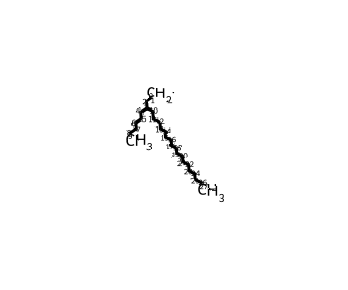 [CH2]CCC(CCCCCC)CCCCCCCCCCCCCCCCCC